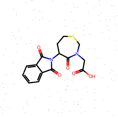 O=C(O)CN1CSCCC(N2C(=O)c3ccccc3C2=O)C1=O